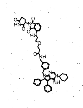 N=c1c2c(-c3ccccc3)c(-c3ccccc3)n(Cc3cccc(CNC(=O)CCOCCNc4cccc5c4C(=O)N(C4CCC(=O)NC4=O)C5=O)c3)c2ncn1C1CCCCC1